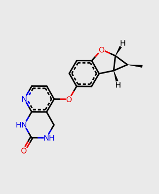 C[C@@H]1[C@H]2Oc3ccc(Oc4ccnc5c4CNC(=O)N5)cc3[C@@H]12